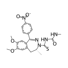 CNC(=O)NC(=S)N1N=C(c2ccc([N+](=O)[O-])cc2)c2cc(OC)c(OC)cc2C[C@H]1C